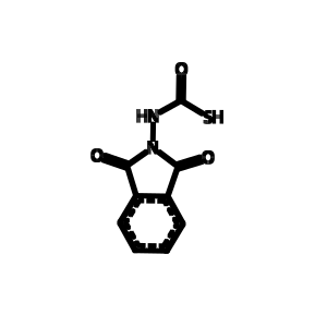 O=C(S)NN1C(=O)c2ccccc2C1=O